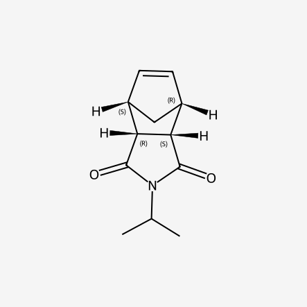 CC(C)N1C(=O)[C@@H]2[C@H](C1=O)[C@@H]1C=C[C@H]2C1